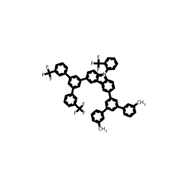 Cc1cccc(-c2cc(-c3cccc(C)c3)cc(-c3ccc4c(c3)c3cc(-c5cc(-c6cccc(C(F)(F)F)c6)cc(-c6cccc(C(F)(F)F)c6)c5)ccc3n4-c3ccccc3C(F)(F)F)c2)c1